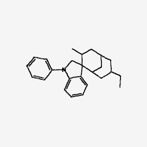 CCC1CC2CC(C)C3(CN(c4ccccc4)c4ccccc43)C(C1)C2